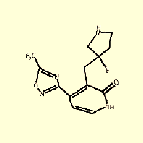 O=c1[nH]ccc(-c2noc(C(F)(F)F)n2)c1CC1(F)CCNC1